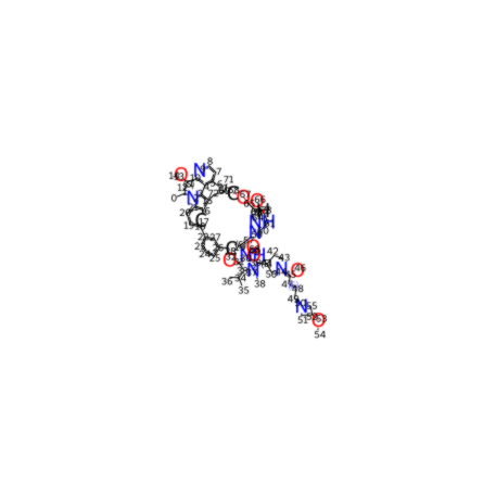 CCn1c(-c2c(C)ccnc2[C@H](C)OC)c2c3cc(ccc31)-c1cccc(c1)C[C@H](NC(=O)C(C(C)C)N(C)C(=O)[C@H]1CCN(C(=O)/C=C/CN3CC(OC)C3)C1)C(=O)N1CCC[C@H](N1)C(=O)OCC(C)(C)C2